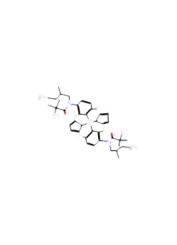 CCC(C)(C)C(=O)N(CC(C)CC(C)C)c1ccc(F)[c]([Ti]([c]2c(F)ccc(N(CC(C)CC(C)C)C(=O)C(C)(C)CC)c2F)([CH]2C=CC=C2)[CH]2C=CC=C2)c1F